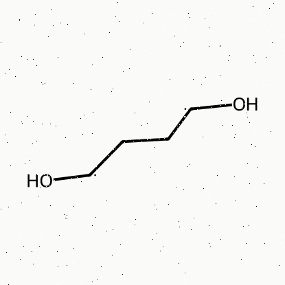 O[CH]CC[CH]O